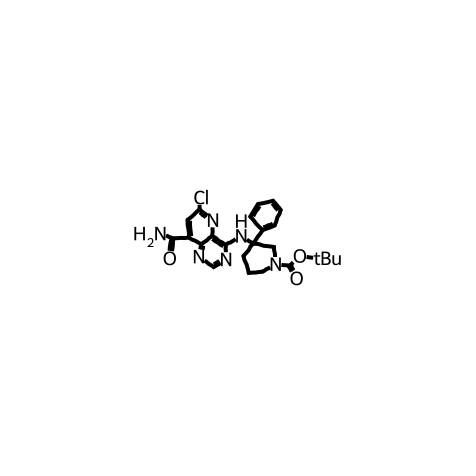 CC(C)(C)OC(=O)N1CCCC(Nc2ncnc3c(C(N)=O)cc(Cl)nc23)(c2ccccc2)C1